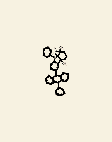 CC1(C)CCCC2(C)c3cc(-c4c5ccccc5c(-c5ccccc5)c5ccccc45)ccc3N(c3ccccc3)C12C